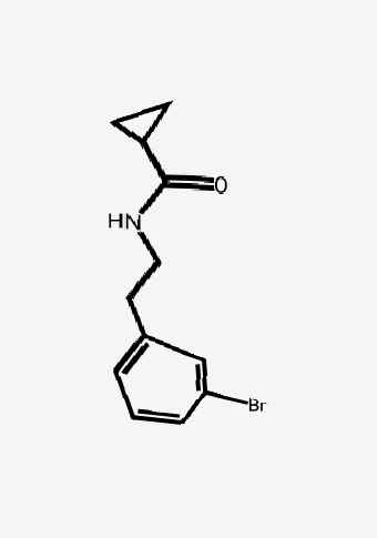 O=C(NCCc1cccc(Br)c1)C1CC1